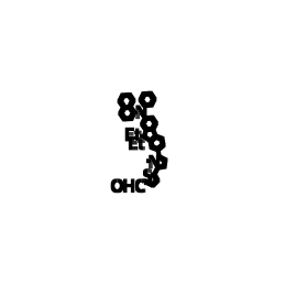 CCC1(CC)c2cc(-c3ccc(-c4ccc(C=O)s4)n3C)ccc2-c2ccc(N(c3ccccc3)c3cccc4ccccc34)cc21